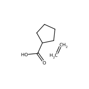 C=C.O=C(O)C1CCCC1